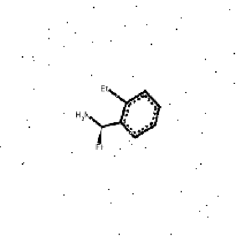 CCc1ccccc1[C@H](N)CC